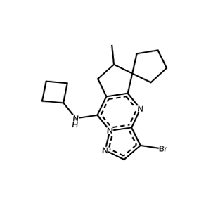 CC1Cc2c(nc3c(Br)cnn3c2NC2CCC2)C12CCCC2